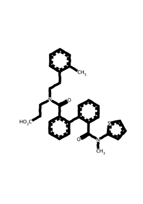 Cc1ccccc1CCN(CCC(=O)O)C(=O)c1ccccc1-c1ccccc1C(=O)N(C)c1cccs1